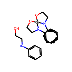 OCCNc1ccccc1.c1ccc(N2CCO[Si]23OCCN3c2ccccc2)cc1